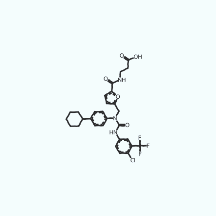 O=C(O)CCNC(=O)c1ccc(CN(C(=O)Nc2ccc(Cl)c(C(F)(F)F)c2)c2ccc(C3CCCCC3)cc2)o1